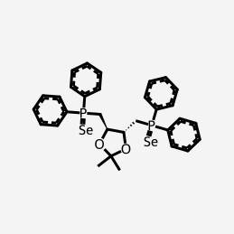 CC1(C)O[C@@H](CP(=[Se])(c2ccccc2)c2ccccc2)[C@H](CP(=[Se])(c2ccccc2)c2ccccc2)O1